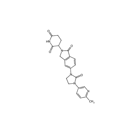 Cc1ccc(N2CCN(c3ccc4c(c3)CN(C3CCC(=O)NC3=O)C4=O)C2=O)cn1